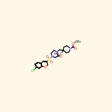 CC(C)(C)OC(=O)N1CCC(CN2CCN(S(=O)(=O)C3=Cc4ccc(Cl)cc4OC3)CC2=O)(C(=O)O)CC1